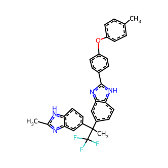 Cc1ccc(Oc2ccc(-c3nc4cc(C(C)(c5ccc6[nH]c(C)nc6c5)C(F)(F)F)ccc4[nH]3)cc2)cc1